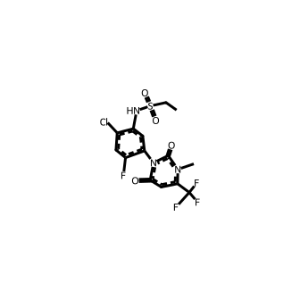 CCS(=O)(=O)Nc1cc(-n2c(=O)cc(C(F)(F)F)n(C)c2=O)c(F)cc1Cl